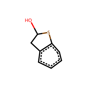 OC1Cc2ccccc2S1